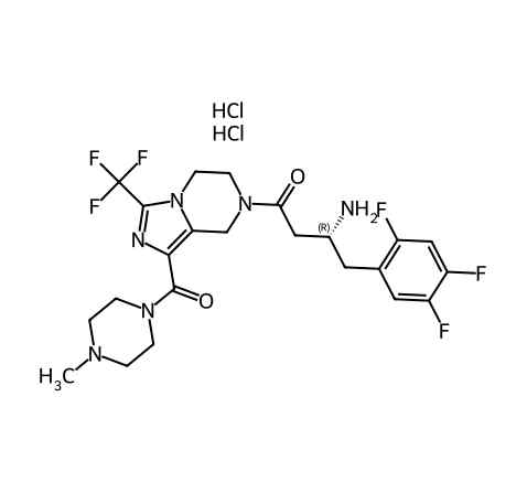 CN1CCN(C(=O)c2nc(C(F)(F)F)n3c2CN(C(=O)C[C@H](N)Cc2cc(F)c(F)cc2F)CC3)CC1.Cl.Cl